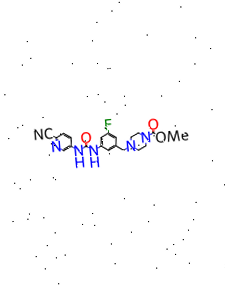 COC(=O)N1CCN(Cc2cc(F)cc(NC(=O)Nc3ccc(C#N)nc3)c2)CC1